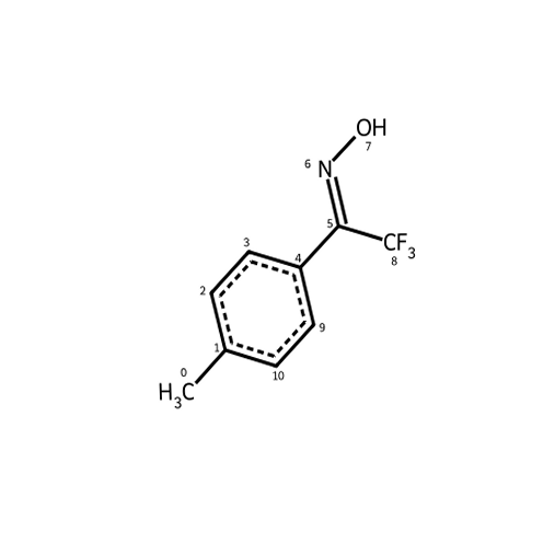 Cc1ccc(C(=NO)C(F)(F)F)cc1